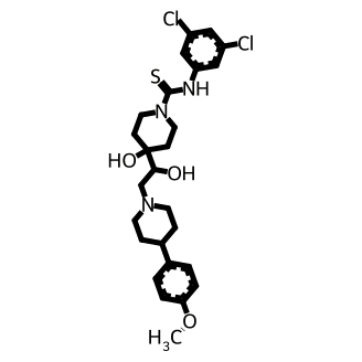 COc1ccc(C2CCN(CC(O)C3(O)CCN(C(=S)Nc4cc(Cl)cc(Cl)c4)CC3)CC2)cc1